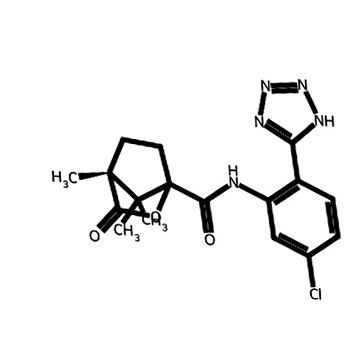 CC1(C)C2(C(=O)Nc3cc(Cl)ccc3-c3nnn[nH]3)CC[C@@]1(C)C(=O)O2